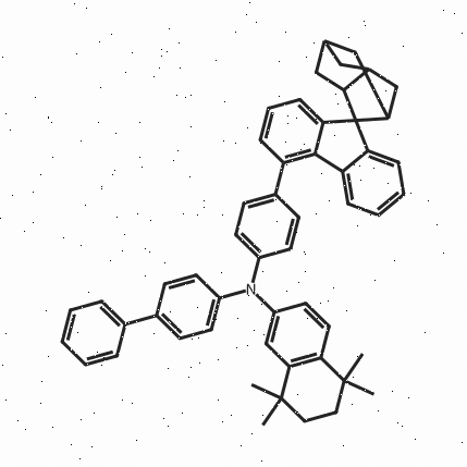 CC1(C)CCC(C)(C)c2cc(N(c3ccc(-c4ccccc4)cc3)c3ccc(-c4cccc5c4-c4ccccc4C54C5CC6CC(C5)C4C6)cc3)ccc21